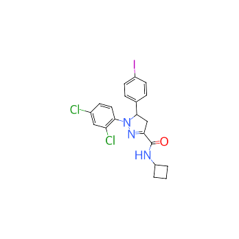 O=C(NC1CCC1)C1=NN(c2ccc(Cl)cc2Cl)C(c2ccc(I)cc2)C1